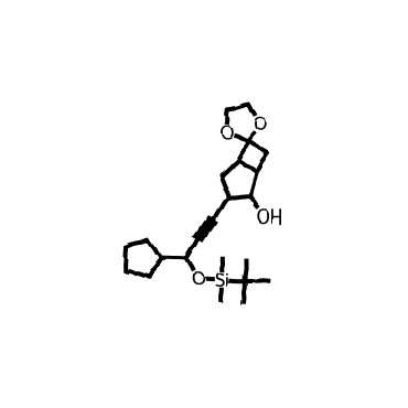 CC(C)(C)[Si](C)(C)OC(C#CC1CC2C(CC23OCCO3)C1O)C1CCCC1